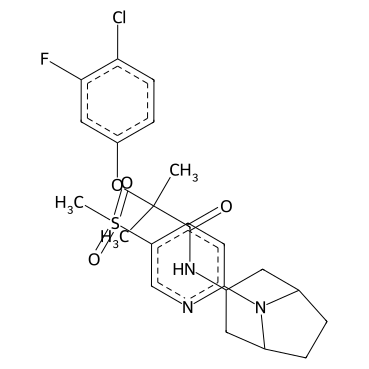 CC(C)(Oc1ccc(Cl)c(F)c1)C(=O)NC1CC2CCC(C1)N2c1ccc(S(C)(=O)=O)cn1